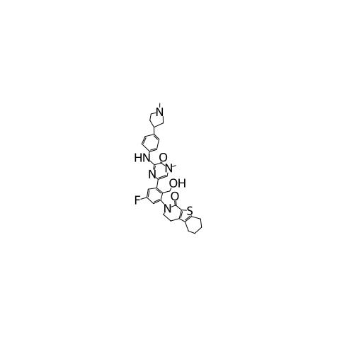 CN1CCC(c2ccc(Nc3nc(-c4cc(F)cc(N5CCc6c(sc7c6CCCC7)C5=O)c4CO)cn(C)c3=O)cc2)CC1